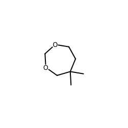 CC1(C)CCOCOC1